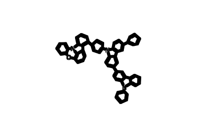 c1ccc(-c2ccc3c(c2)c2cc(-c4ccc5c(c4)c4ccccc4n5-c4ccccc4)ccc2n3-c2ccc(-c3cccc4c3c3cccc5c3n4-c3ccccc3O5)cc2)cc1